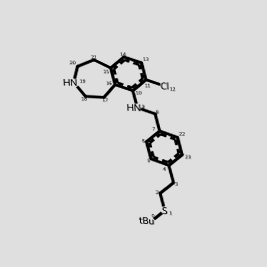 CC(C)(C)SCCc1ccc(CNc2c(Cl)ccc3c2CCNCC3)cc1